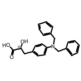 O=C(O)[C@@H](O)Cc1ccc(N(Cc2ccccc2)Cc2ccccc2)cc1